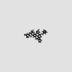 Cc1cnc(-c2c(CCC34CCC(CC3)OC4)nc3c(c2-c2ccc4c(c2)OC(C)(C)C(=O)N4Cc2ccc(F)cn2)c(=O)n2n3CCC2)o1